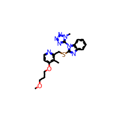 COCCCOc1ccnc(CSc2nc3ccccc3n2-c2nnnn2C)c1C